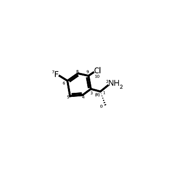 C[C@@H](N)c1ccc(F)cc1Cl